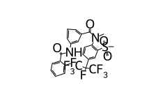 CN(C(=O)c1cccc(NC(=O)c2ccccc2F)c1)c1ccc(C(F)(C(F)(F)F)C(F)(F)F)cc1S(C)(=O)=O